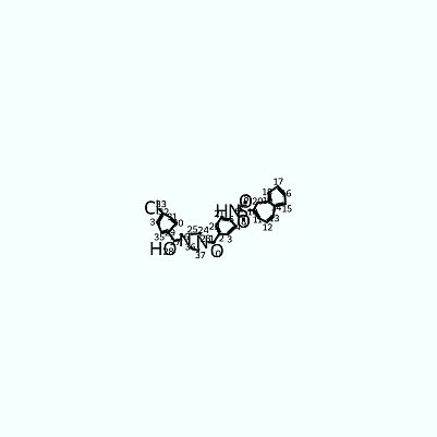 O=C(c1ccc(NS(=O)(=O)C2=CC=Cc3ccccc3C2)cc1)N1CCN(C(O)c2ccc(Cl)cc2)CC1